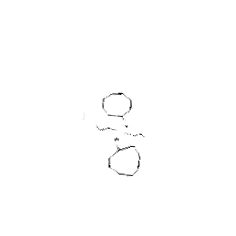 CCC[Si](CCC)(OC1CCCCCCC1)OC1CCCCCCC1